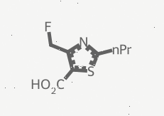 CCCc1nc(CF)c(C(=O)O)s1